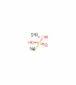 O=P(O)(O)F.[Nd].[SrH2]